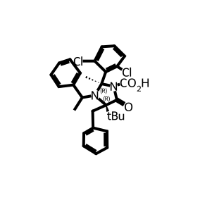 CC(c1ccccc1)N1[C@@](C)(c2c(Cl)cccc2Cl)N(C(=O)O)C(=O)[C@@]1(Cc1ccccc1)C(C)(C)C